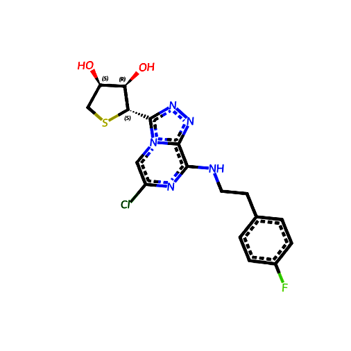 O[C@@H]1[C@H](O)CS[C@H]1c1nnc2c(NCCc3ccc(F)cc3)nc(Cl)cn12